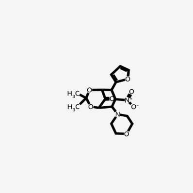 CC1(C)OC2C(=O)C(O1)C(N1CCOCC1)C([N+](=O)[O-])C2c1ccco1